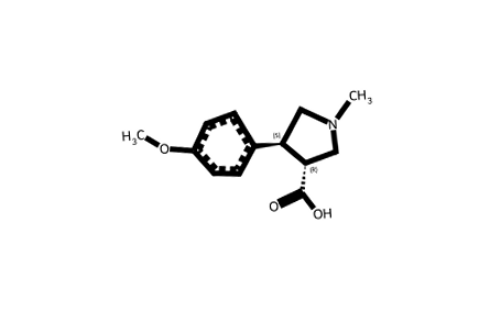 COc1ccc([C@H]2CN(C)C[C@@H]2C(=O)O)cc1